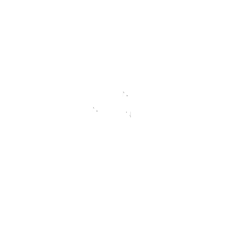 Cc1ccc(N2CN(c3ccccc3)C=N2)cc1